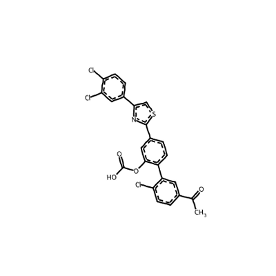 CC(=O)c1ccc(Cl)c(-c2ccc(-c3nc(-c4ccc(Cl)c(Cl)c4)cs3)cc2OC(=O)O)c1